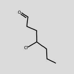 CCCC(Cl)CCC=O